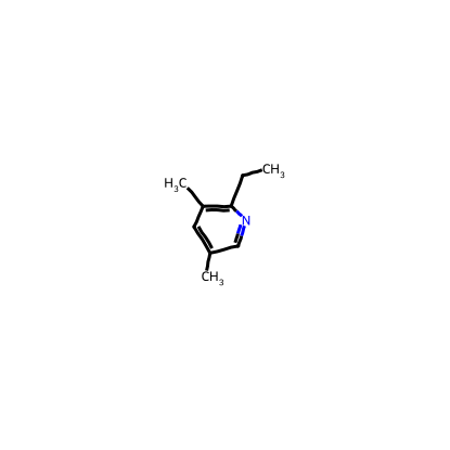 CCc1ncc(C)cc1C